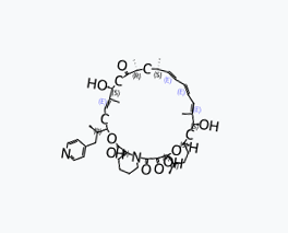 C/C1=C\CC([C@H](C)Cc2ccncc2)OC(=O)[C@@H]2CCCCN2C(=O)C(=O)[C@]2(O)O[C@@H](CC[C@H]2C)C[C@H](O)/C(C)=C/C=C/C=C/[C@@H](C)C[C@@H](C)C(=O)C[C@@H]1O